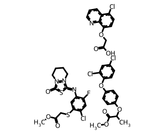 COC(=O)C(C)Oc1ccc(Oc2ccc(Cl)cc2Cl)cc1.COC(=O)CSc1cc(/N=c2\sc(=O)n3n2CCCC3)c(F)cc1Cl.O=C(O)COc1ccc(Cl)c2cccnc12